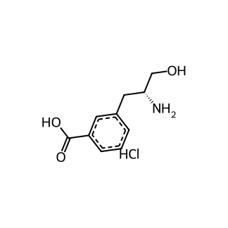 Cl.N[C@@H](CO)Cc1cccc(C(=O)O)c1